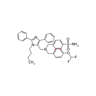 CCCCn1c(-c2ccccc2)nc(-c2ccccc2)c1CN(Cc1ccc(OC(F)F)cc1)Cc1ccc(S(N)(=O)=O)cc1